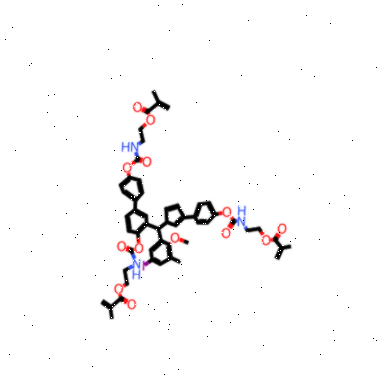 C=C(C)C(=O)OCCNC(=O)Oc1ccc(C2=CC(C(c3cc(-c4ccc(OC(=O)NCCOC(=O)C(=C)C)cc4)ccc3OC(=O)NCCOC(=O)C(=C)C)c3cc(I)cc(C)c3OC)C=C2)cc1